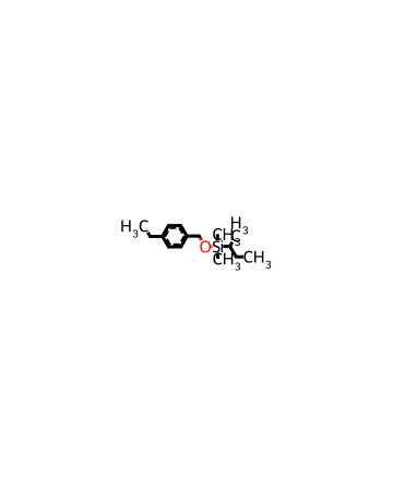 CCc1ccc(CO[Si](C)(C)C(C)CC)cc1